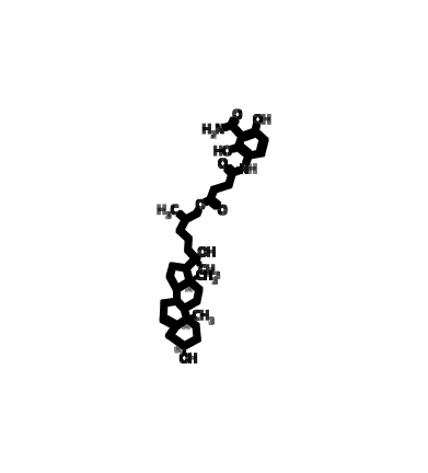 CC(CCC[C@](C)(O)C1CCC2C3CC=C4C[C@@H](O)CC[C@]4(C)C3CC[C@@]21C)COC(=O)CCC(=O)Nc1ccc(O)c(C(N)=O)c1O